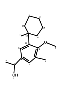 COc1c(C)cc(C(C)O)cc1C1(C)CCCCC1